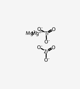 [Mg+2].[Mg+2].[O]=[Ti]([O-])[O-].[O]=[Zr]([O-])[O-]